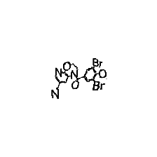 COc1c(Br)cc(C(=O)N2CCOc3ncc(C#N)cc32)cc1Br